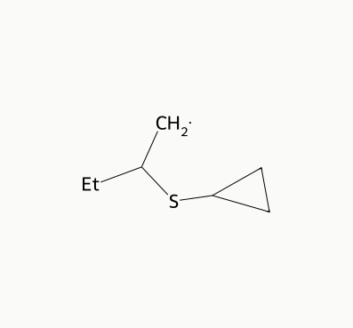 [CH2]C(CC)SC1CC1